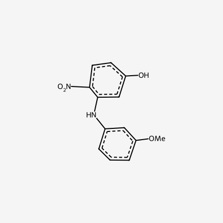 COc1cccc(Nc2cc(O)ccc2[N+](=O)[O-])c1